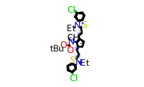 CCN1/C(=C/C=C2\CCC(/C=C/c3sc4ccc(Cl)cc4[n+]3CC)=C2N(C)C(=O)OC(C)(C)C)Sc2ccc(Cl)cc21